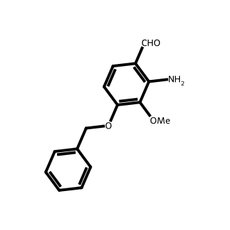 COc1c(OCc2ccccc2)ccc(C=O)c1N